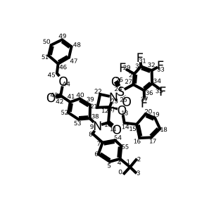 CC(C)(C)c1ccc(CN(C(=O)[C@]2(OCc3ccccc3)CCN2S(=O)(=O)c2c(F)c(F)c(F)c(F)c2F)c2ccc(C(=O)OCc3ccccc3)cc2)cc1